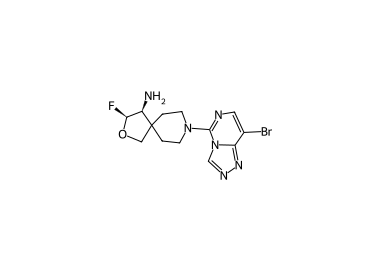 N[C@@H]1[C@H](F)OCC12CCN(c1ncc(Br)c3nncn13)CC2